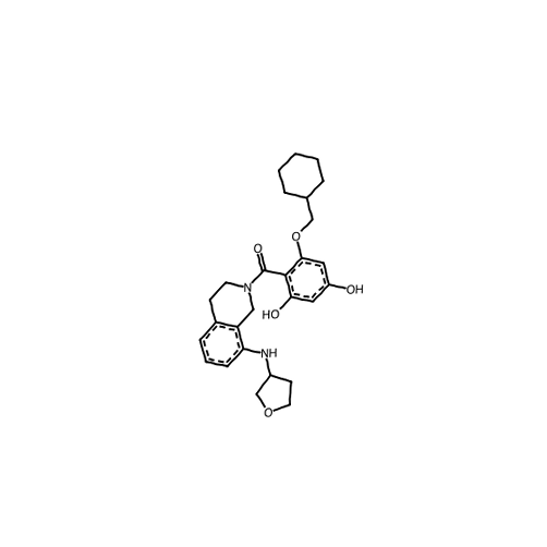 O=C(c1c(O)cc(O)cc1OCC1CCCCC1)N1CCc2cccc(NC3CCOC3)c2C1